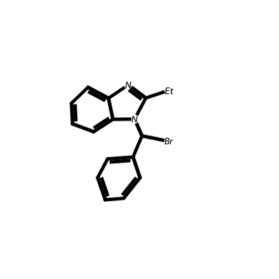 CCc1nc2ccccc2n1C(Br)c1ccccc1